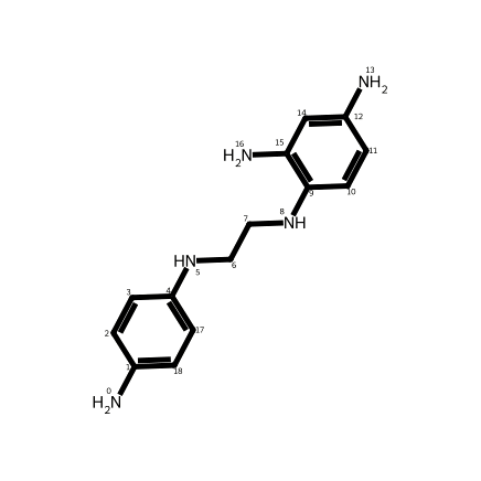 Nc1ccc(NCCNc2ccc(N)cc2N)cc1